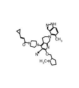 Cc1ccc2[nH]ncc2c1N1CCc2c(nc(OCC3CCCN3C)c(C#N)c2N2CCN(C(=O)C=CC3CC3)CC2)C1